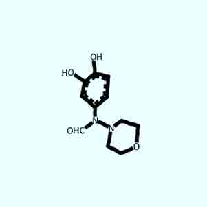 O=CN(c1ccc(O)c(O)c1)N1CCOCC1